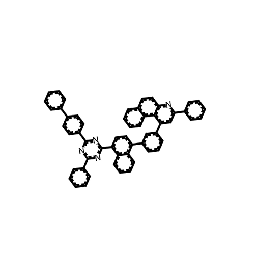 c1ccc(-c2ccc(-c3nc(-c4ccccc4)nc(-c4ccc(-c5cccc(-c6cc(-c7ccccc7)nc7ccc8ccccc8c67)c5)c5ccccc45)n3)cc2)cc1